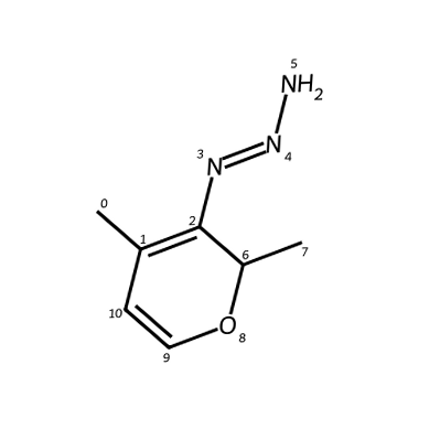 CC1=C(N=NN)C(C)OC=C1